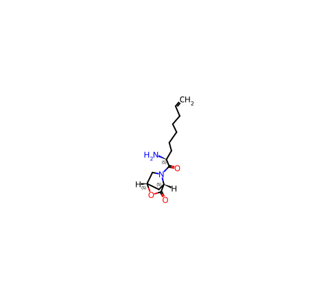 C=CCCCCC[C@H](N)C(=O)N1C[C@@H]2C[C@H]1C(=O)O2